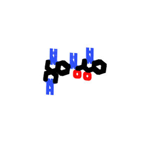 O=C(Nc1ccc2c(c1)NCCC21CCNCC1)c1c[nH]c2ccccc2c1=O